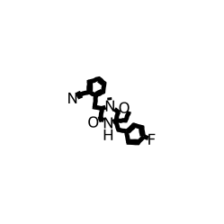 CCC1(Cc2ccc(F)cc2)NC(=O)C(Cc2ccccc2C#N)N(C)C1=O